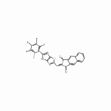 O=C1C(=Cc2nc3oc(-c4c(F)c(F)c(F)c(F)c4F)nc3o2)C(=O)c2cc3ccccc3cc21